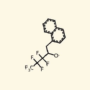 [O]C(Cc1cccc2ccccc12)C(F)(F)C(F)(F)C(F)(F)F